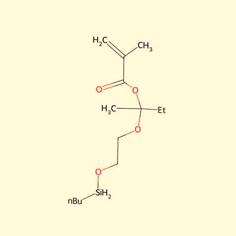 C=C(C)C(=O)OC(C)(CC)OCCO[SiH2]CCCC